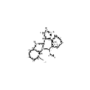 CC(c1cccnc1)n1c(-c2nonc2N)nc2cccc(F)c21